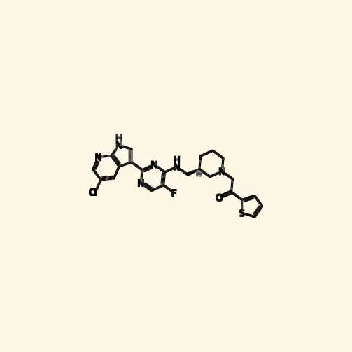 O=C(CN1CCC[C@H](CNc2nc(-c3c[nH]c4ncc(Cl)cc34)ncc2F)C1)c1cccs1